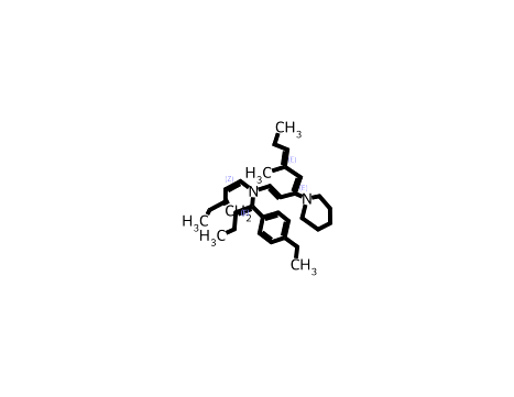 C=C(/C=C\N(C=C/C(=C\C(C)=C\CC)N1CCCCC1)/C(=C/CC)c1ccc(CC)cc1)CC